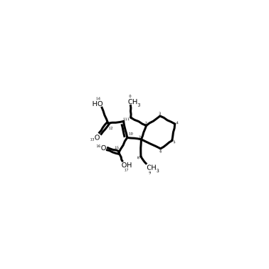 CCC1CCCCC1(CC)/C(=C/C(=O)O)C(=O)O